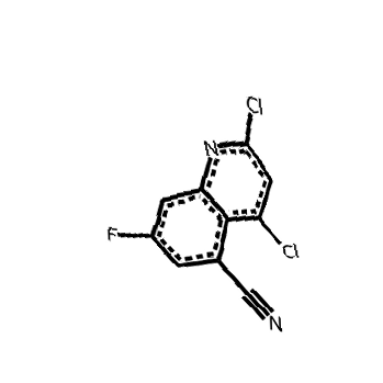 N#Cc1cc(F)cc2nc(Cl)cc(Cl)c12